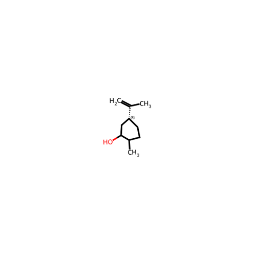 C=C(C)[C@@H]1CCC(C)C(O)C1